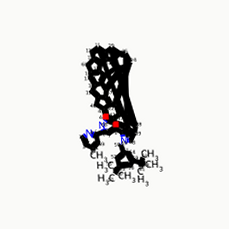 Cc1ccnc(-c2cc(C3C4c5cc6c7c8c(cc9cc%10c%11c%12c%13c%14c%15c%16c%17c(c%18c5c7c(c%18%15)c5c8c9c%11c%145)C4(CC%17=CC(C=C%12C%10)C%16%13)CN3Cc3cc(C(C)(C)C)cc(C(C)(C)C)c3)C6)ccn2)c1